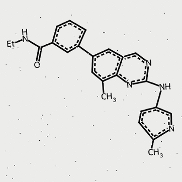 CCNC(=O)c1cccc(-c2cc(C)c3nc(Nc4ccc(C)nc4)ncc3c2)c1